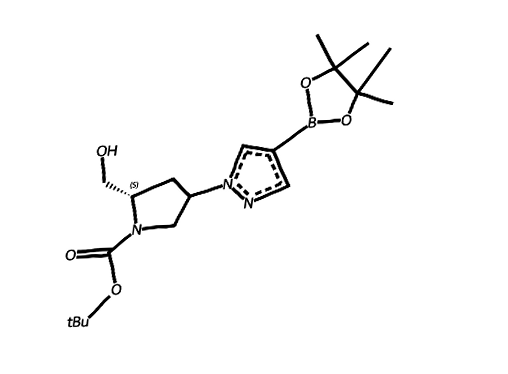 CC(C)(C)OC(=O)N1CC(n2cc(B3OC(C)(C)C(C)(C)O3)cn2)C[C@H]1CO